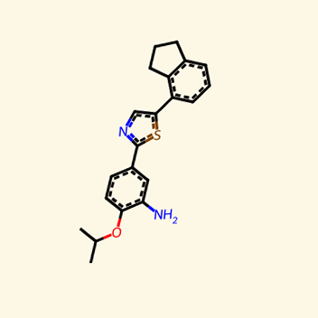 CC(C)Oc1ccc(-c2ncc(-c3cccc4c3CCC4)s2)cc1N